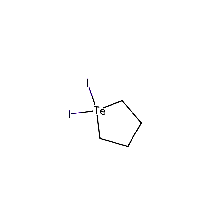 I[Te]1(I)CCCC1